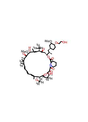 [2H]C([2H])([2H])O[C@H]1C[C@@H]2CC([2H])([2H])[C@@H](C)[C@@](O)(O2)C(=O)C(=O)N2CCCC[C@H]2C(=O)O[C@H]([C@H](C)C[C@@H]2CC[C@@H](OCCO)[C@H](OC)C2)CC(=O)[C@H](C([2H])([2H])[2H])/C=C(\C)[C@@H](O)[C@@H](OC)C(=O)[C@H](C)C([2H])(C)[C@]([2H])(C)/C=C/C=C/C=C/1C